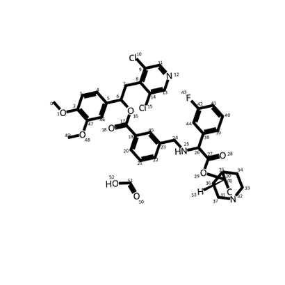 COc1ccc(C(Cc2c(Cl)cncc2Cl)OC(=O)c2cccc(CNC(C(=O)O[C@H]3CN4CCC3CC4)c3cccc(F)c3)c2)cc1OC.O=CO